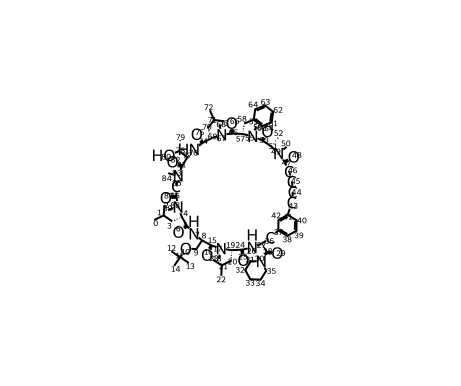 CC(C)C[C@H]1C(=O)NC(COC(C)(C)C)C(=O)N(C)[C@@H](CC(C)C)C(=O)N[C@H](C(=O)N2CCCCC2)Cc2cccc(c2)CCCCC(=O)N(C)[C@@H](C)C(=O)N(C)[C@@H](Cc2ccccc2)C(=O)N(C)[C@@H](CC(C)C)C(=O)N[C@@H]([C@@H](C)O)C(=O)N(C)CC(=O)N1C